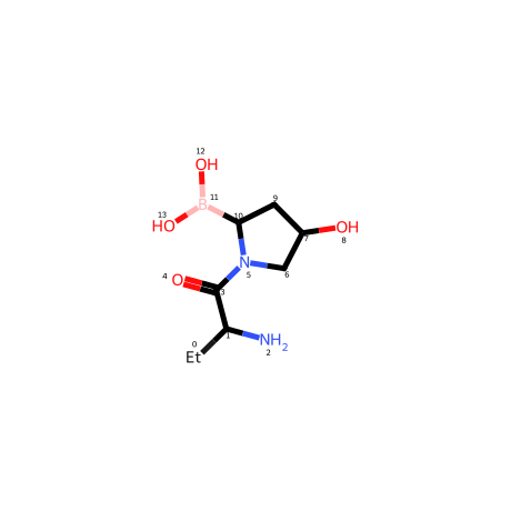 CCC(N)C(=O)N1CC(O)CC1B(O)O